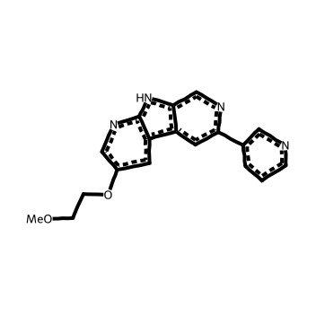 COCCOc1cnc2[nH]c3cnc(-c4cccnc4)cc3c2c1